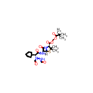 CC(C)(C)C(=O)OCOC(=O)[C@@H]1N2C(=O)[C@H](NC(=O)[C@@H](c3ccccc3)N(C=O)NC=O)[C@H]2SC1(C)C